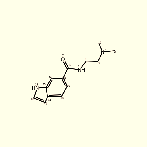 CN(C)CCNC(=O)c1ccc2[c]c[nH]c2c1